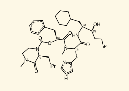 CC(C)CC[C@H](O)[C@H](CC1CCCCC1)NC(=O)[C@H](Cc1c[nH]cn1)N(C)C(=O)[C@H](Cc1ccccc1)OC(=O)N1CCN(C)C(=O)[C@@H]1CC(C)C